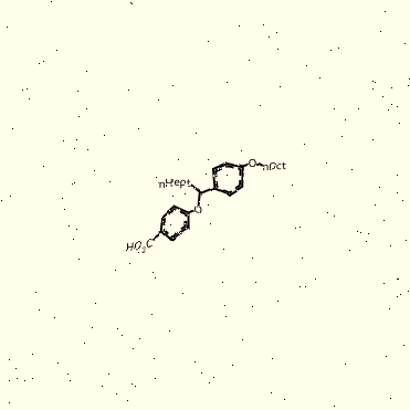 CCCCCCCCOc1ccc(C(CCCCCCC)Oc2ccc(C(=O)O)cc2)cc1